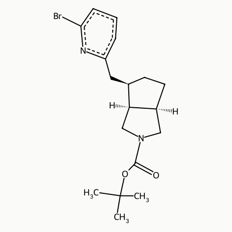 CC(C)(C)OC(=O)N1C[C@@H]2CC[C@H](Cc3cccc(Br)n3)[C@@H]2C1